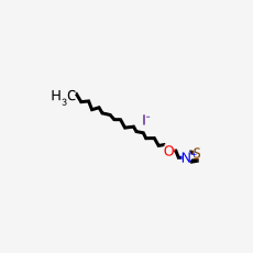 CCCCCCCCCCCCCCCCCCOCC[n+]1ccsc1.[I-]